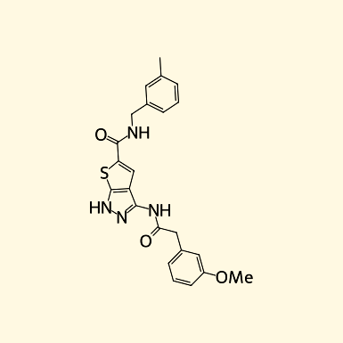 COc1cccc(CC(=O)Nc2n[nH]c3sc(C(=O)NCc4cccc(C)c4)cc23)c1